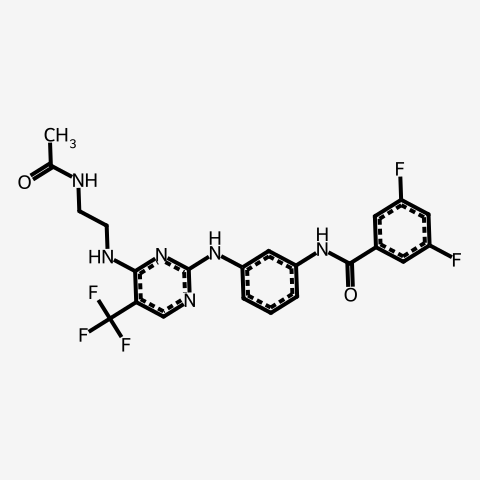 CC(=O)NCCNc1nc(Nc2cccc(NC(=O)c3cc(F)cc(F)c3)c2)ncc1C(F)(F)F